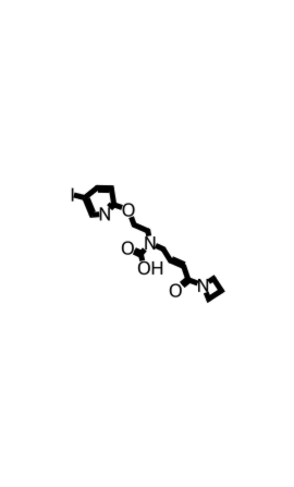 O=C(O)N(CC=CC(=O)N1CCC1)CCOc1ccc(I)cn1